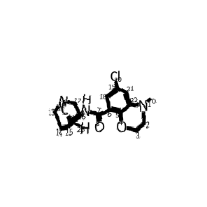 CN1CCOc2c(C(=O)N[C@H]3CN4CCC3CC4)cc(Cl)cc21